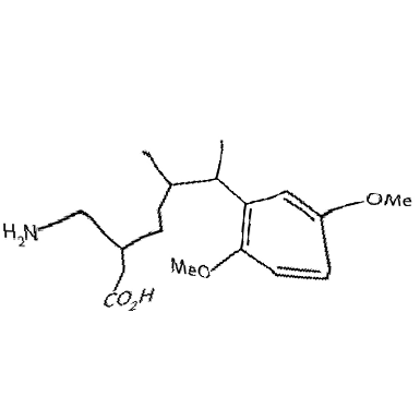 COc1ccc(OC)c(C(C)C(C)CC(CN)C(=O)O)c1